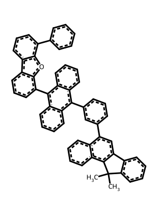 CC1(C)c2ccccc2-c2cc(-c3cccc(-c4c5ccccc5c(-c5cccc6c5oc5c(-c7ccccc7)cccc56)c5ccccc45)c3)c3ccccc3c21